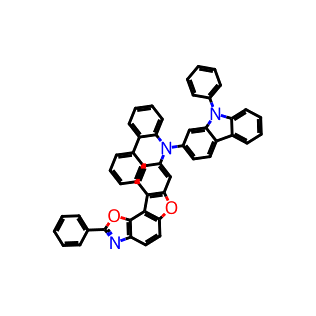 c1ccc(-c2nc3ccc4oc5cc(N(c6ccc7c8ccccc8n(-c8ccccc8)c7c6)c6ccccc6-c6ccccc6)ccc5c4c3o2)cc1